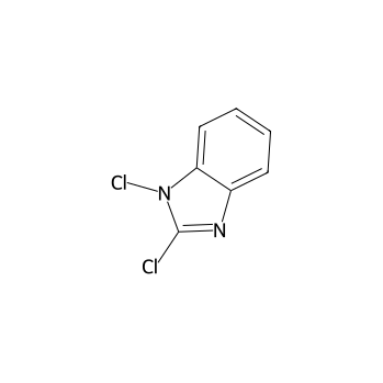 Clc1nc2ccccc2n1Cl